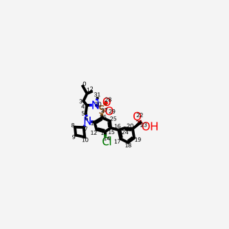 CC(C)CC1CN(C2CCC2)c2cc(Cl)c(-c3cccc(C(=O)O)c3)cc2S(=O)(=O)N1C